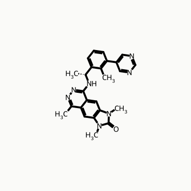 Cc1c(-c2cncnc2)cccc1[C@@H](C)Nc1nnc(C)c2cc3c(cc12)n(C)c(=O)n3C